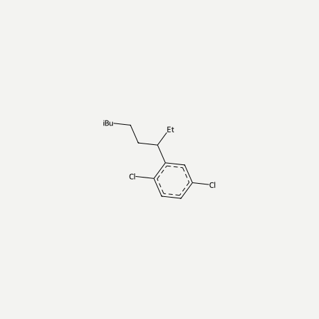 CCC(C)CCC(CC)c1cc(Cl)ccc1Cl